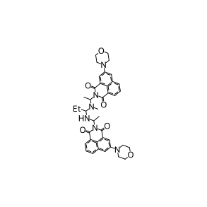 CCC(NC(C)N1C(=O)c2cccc3cc(N4CCOCC4)cc(c23)C1=O)N(C)C(C)N1C(=O)c2cccc3cc(N4CCOCC4)cc(c23)C1=O